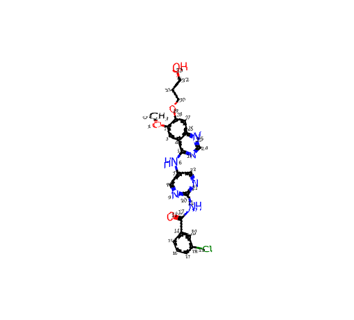 COc1cc2c(Nc3cnc(NC(=O)c4cccc(Cl)c4)nc3)ncnc2cc1OCCCO